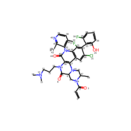 C=CC(=O)N1CC2C(=O)N(CCCN(C)C)c3c(c4cc(Cl)c(-c5c(O)cccc5F)c(F)c4n(-c4c(C)ccnc4C(C)C)c3=O)N2CC1C